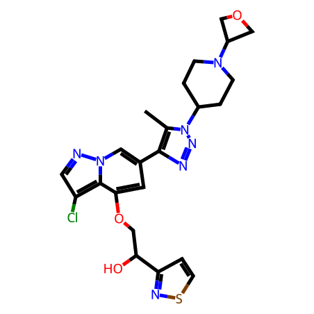 Cc1c(-c2cc(OCC(O)c3ccsn3)c3c(Cl)cnn3c2)nnn1C1CCN(C2COC2)CC1